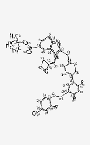 CC(C)(C)OC(=O)c1ccc2nc(CN3CC=C(c4cc(CCc5ccc(Cl)cc5F)c(F)cc4F)CC3)n(C[C@@H]3CCO3)c2c1